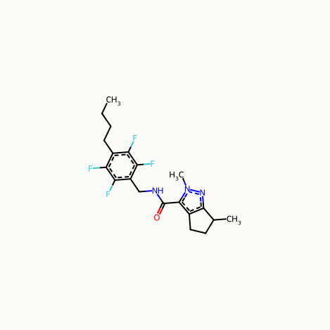 CCCCc1c(F)c(F)c(CNC(=O)c2c3c(nn2C)C(C)CC3)c(F)c1F